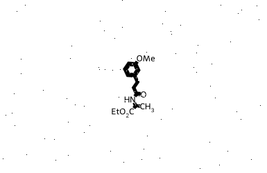 CCOC(=O)C(C)NC(=O)CCc1cccc(OC)c1